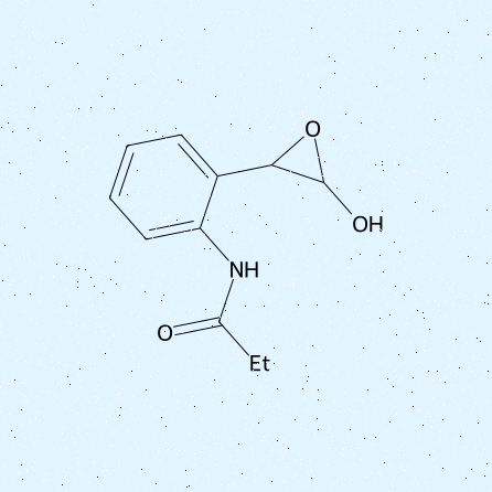 CCC(=O)Nc1ccccc1C1OC1O